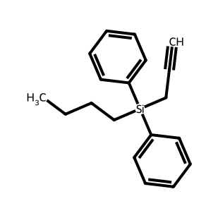 C#CC[Si](CCCC)(c1ccccc1)c1ccccc1